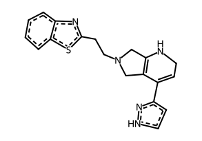 C1=C(c2cc[nH]n2)C2=C(CN(CCc3nc4ccccc4s3)C2)NC1